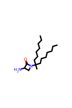 CCCCCCCC(C)(CCCCCCC)N1CC(N)C1=O